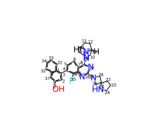 Oc1cc(-c2ccc3c(N4C[C@H]5CC[C@@H](C4)N5)nc(N4CC5(CCCN5)C4)nc3c2F)c2ccccc2c1